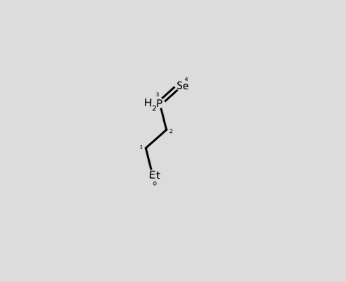 CCCC[PH2]=[Se]